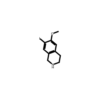 COc1cc2c(cc1I)CNCC2